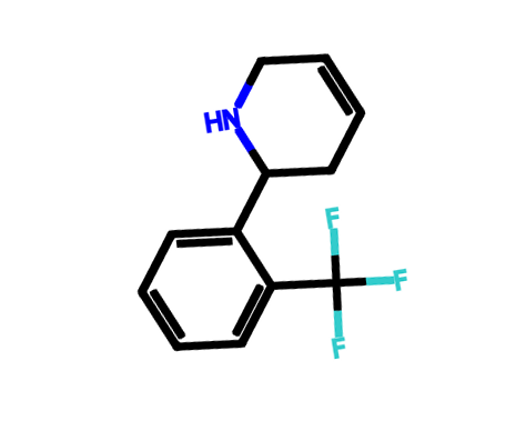 FC(F)(F)c1ccccc1C1CC=CCN1